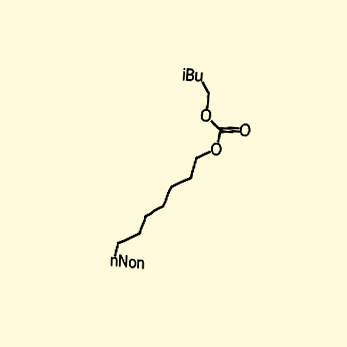 CCCCCCCCCCCCCCCCOC(=O)OCC(C)CC